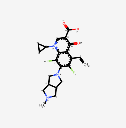 C=Cc1c(F)c(N2CC3CN(C)CC3C2)c(F)c2c1c(=O)c(C(=O)O)cn2C1CC1